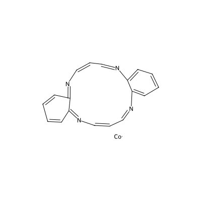 [Co].c1cnc2ccccc2ncccnc2ccccc2nc1